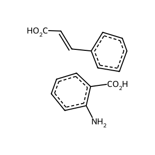 Nc1ccccc1C(=O)O.O=C(O)C=Cc1ccccc1